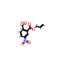 C=CCOC(=O)c1cc([N+](=O)[O-])ccc1CO